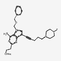 COCCc1nc(N)c2c(n1)c(C#CCCCN1CCC(F)CC1)cn2COCc1ccccc1